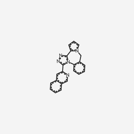 c1ccc2c(c1)Cn1cccc1-c1nnc(-c3cc4ccccc4cn3)n1-2